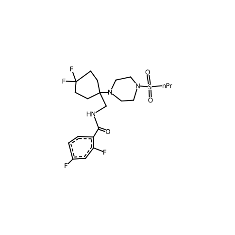 CCCS(=O)(=O)N1CCN(C2(CNC(=O)c3ccc(F)cc3F)CCC(F)(F)CC2)CC1